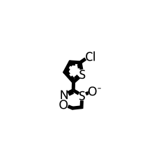 [O-][S+]1CCON=C1c1ccc(Cl)s1